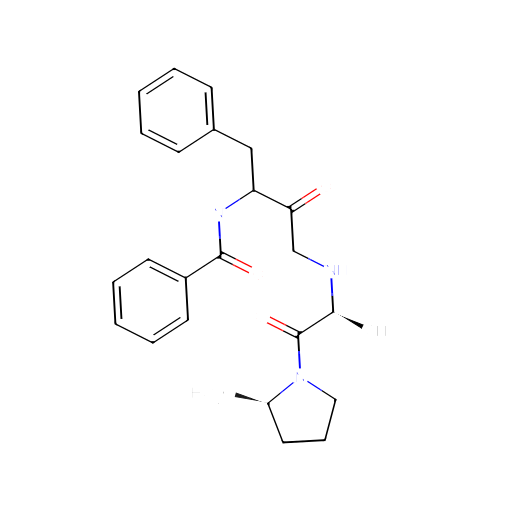 C[C@H](NCC(=O)C(Cc1ccccc1)NC(=O)c1ccccc1)C(=O)N1CCC[C@H]1C(=O)O